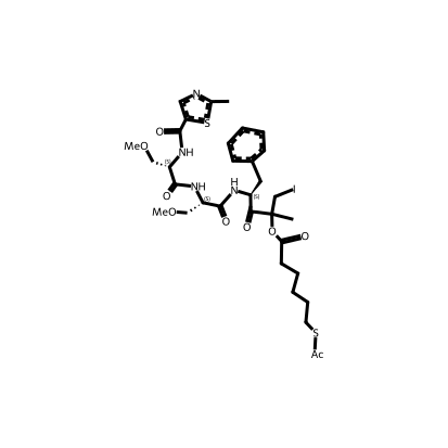 COC[C@H](NC(=O)c1cnc(C)s1)C(=O)N[C@@H](COC)C(=O)N[C@@H](Cc1ccccc1)C(=O)C(C)(CI)OC(=O)CCCCCSC(C)=O